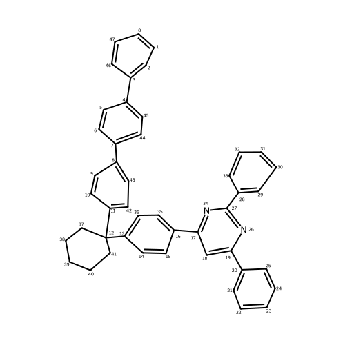 c1ccc(-c2ccc(-c3ccc(C4(c5ccc(-c6cc(-c7ccccc7)nc(-c7ccccc7)n6)cc5)CCCCC4)cc3)cc2)cc1